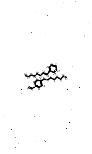 C=Cc1ccc(CCCCCCCC)cc1.CCCCCCC=Cc1ccccc1